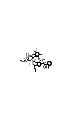 CCC[C@@H](NC(=O)N1CC(=NOCC)NC[C@H](Cc2cc(F)c(F)cc2OC)C1=O)c1ccc(C(=O)C(O)c2ccccc2)c(N)c1